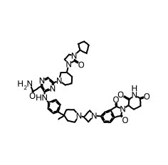 CC1(c2ccc(Nc3nc(N4CCCC(N5CCN(C6CCCC6)C5=O)C4)cnc3C(N)=O)cc2)CCN(C2CN(c3ccc4c(c3)C(=O)N(C3CCC(=O)NC3=O)C4=O)C2)CC1